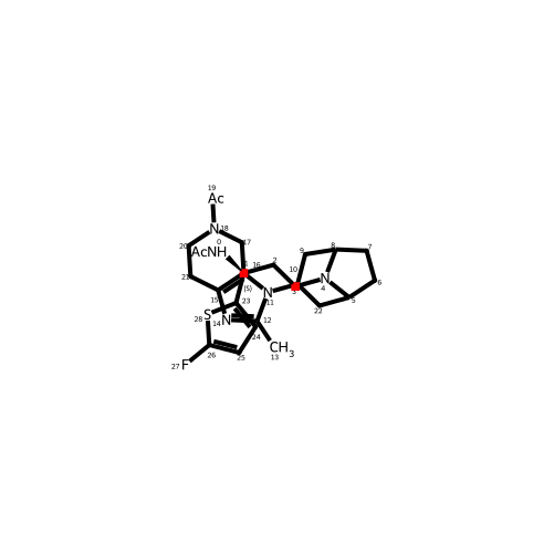 CC(=O)N[C@@H](CCN1C2CCC1CC(n1c(C)nc3c1CN(C(C)=O)CC3)C2)c1ccc(F)s1